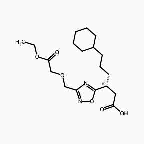 CCOC(=O)COCc1noc([C@H](CCCC2CCCCC2)CC(=O)O)n1